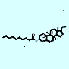 CCCCCCCCCC(=O)O[C@H]1CC[C@@]2(C)C(=CC[C@@H]3[C@@H]2CC[C@]2(C)C(CC)=CC[C@@H]32)C1